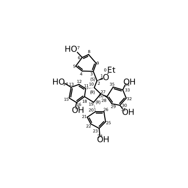 CCO[C@H](c1ccc(O)cc1)[C@H]1c2cc(O)cc(O)c2[C@@H](c2ccc(O)cc2)[C@@H]1c1cc(O)cc(O)c1